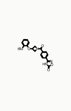 CC(C)(C)c1ccccc1OC1CN(C(=O)c2ccc(-c3noc(=O)[nH]3)cc2)C1